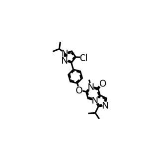 CC(C)c1ncc2c(=O)n(C)c(Oc3ccc(-c4nn(C(C)C)cc4Cl)cc3)cn12